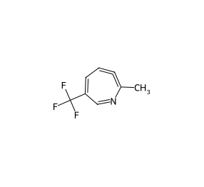 CC1=C=CC=C(C(F)(F)F)C=N1